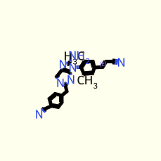 Cc1cc(/C=C/C#N)cc(C)c1-n1c(N)nc2cnc(Cc3ccc(C#N)cc3)nc21